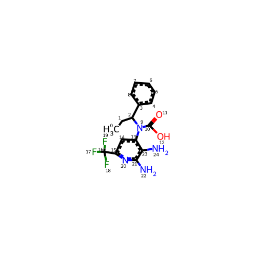 CCC(c1ccccc1)N(C(=O)O)c1cc(C(F)(F)F)nc(N)c1N